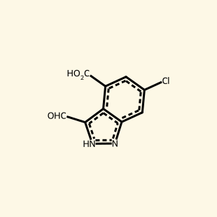 O=Cc1[nH]nc2cc(Cl)cc(C(=O)O)c12